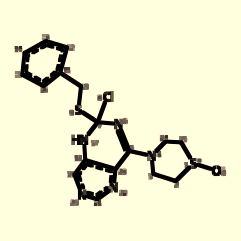 [O-][S+]1CCN(C2=NC(Cl)(SCc3ccccc3)Nc3cncnc32)CC1